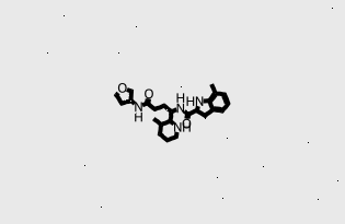 Cc1cccc2c1NC(C(=O)NC(CCC(=O)NC1CCOC1)C1NCCCC1C)C2